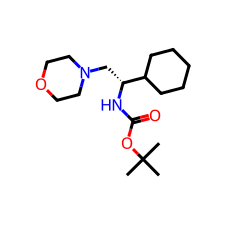 CC(C)(C)OC(=O)N[C@H](CN1CCOCC1)C1CCCCC1